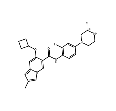 Cc1cn2cc(C(=O)Nc3ccc(N4CCN[C@@H](C)C4)cc3F)c(OC3CCC3)cc2n1